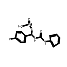 O=C(Nc1ccccc1)NC(O[PH](=O)O)c1ccc(F)cc1